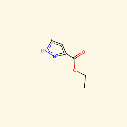 CCOC(=O)c1c[c][nH]n1